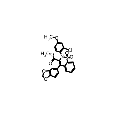 COC(=O)C1=C(c2ccc3c(c2)OCO3)c2ccccc2S(=O)(=O)N1c1ccc(OC)cc1Cl